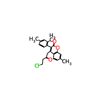 Cc1ccc(-c2c(CC(=O)CCCl)c3ccc(C)cc3oc2=O)c(C)c1